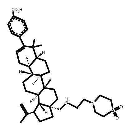 C=C(C)[C@@H]1CC[C@]2(CNCCN3CCS(=O)(=O)CC3)CC[C@]3(C)[C@H](CC[C@@H]4[C@@]5(C)CC=C(c6ccc(C(=O)O)cc6)C(C)(C)[C@@H]5CC[C@]43C)[C@@H]12